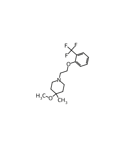 COC1(C)CCN(CCOc2ccccc2C(F)(F)F)CC1